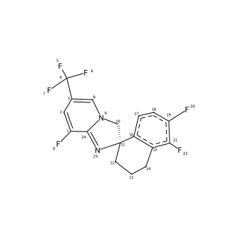 FC1=CC(C(F)(F)F)=CN2C[C@]3(CCCc4c3ccc(F)c4F)N=C12